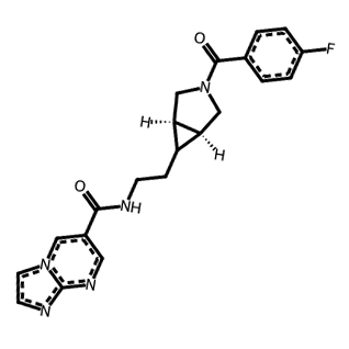 O=C(NCCC1[C@H]2CN(C(=O)c3ccc(F)cc3)C[C@@H]12)c1cnc2nccn2c1